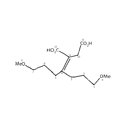 COCCCC(CCCOC)=C(CC(=O)O)C(=O)O